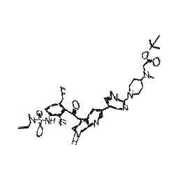 CCN(C)S(=O)(=O)Nc1ccc(F)c(C(=O)c2c[nH]c3ncc(-c4cnc(N5CCC(N(C)CC(=O)OC(C)(C)C)CC5)nc4)cc23)c1F